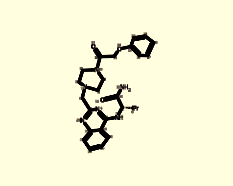 CC(C)[C@H](Nc1nc(CN2CCN(C(=O)COc3ccccc3)CC2)nc2ccccc12)C(N)=O